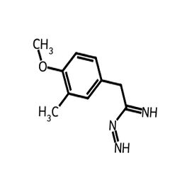 COc1ccc(CC(=N)N=N)cc1C